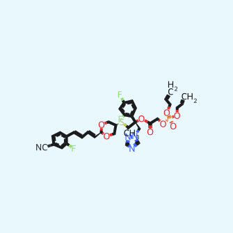 C=CCOP(=O)(OCC=C)OCC(=O)O[C@@](Cn1cncn1)(c1ccc(F)cc1F)[C@@H](C)S[C@H]1CO[C@H](/C=C/C=C/c2ccc(C#N)cc2F)OC1